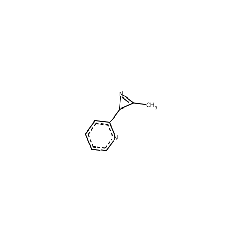 CC1=NC1c1ccccn1